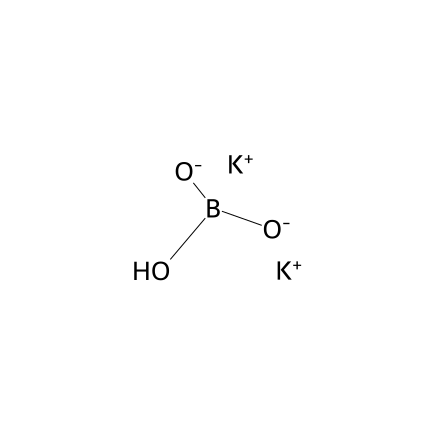 [K+].[K+].[O-]B([O-])O